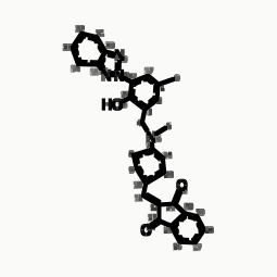 Cc1cc(CN(C)c2ccc(C=C3C(=O)c4ccccc4C3=O)cc2)c(O)c(-n2nc3ccccc3n2)c1